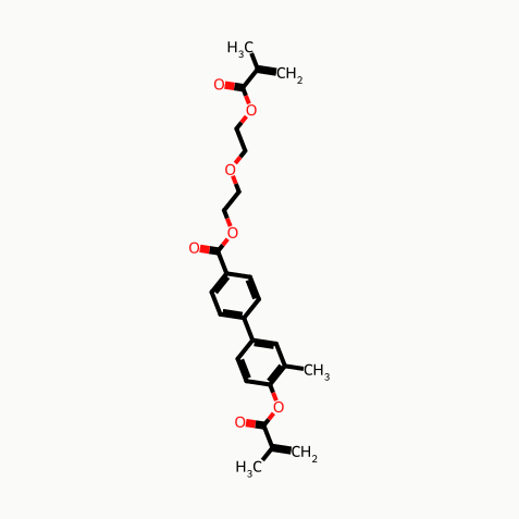 C=C(C)C(=O)OCCOCCOC(=O)c1ccc(-c2ccc(OC(=O)C(=C)C)c(C)c2)cc1